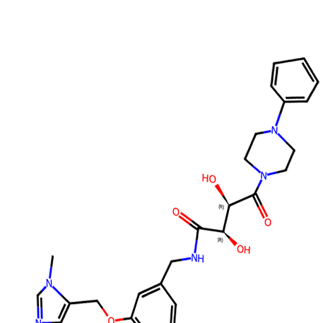 Cn1cncc1COc1cccc(CNC(=O)[C@H](O)[C@@H](O)C(=O)N2CCN(c3ccccc3)CC2)c1